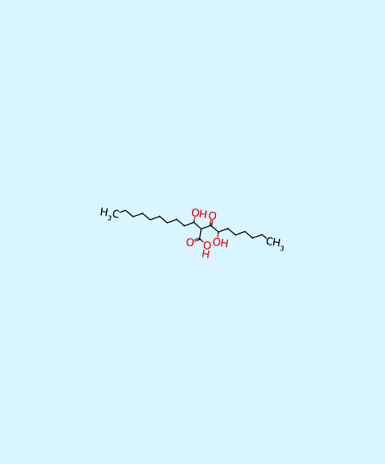 CCCCCCCCCC(O)C(C(=O)O)C(=O)C(O)CCCCCC